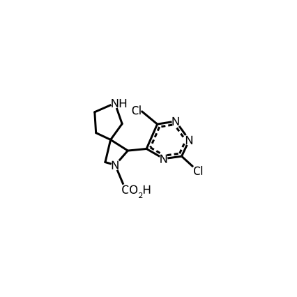 O=C(O)N1CC2(CCNC2)C1c1nc(Cl)nnc1Cl